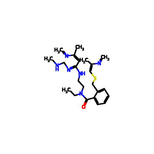 C=N/C(C)=C\SCc1ccccc1C(=O)N(CC)CCNC(/C=C(/C)N=C)=N/CNC